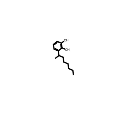 CCCCCCC(C)c1cccc(O)c1O